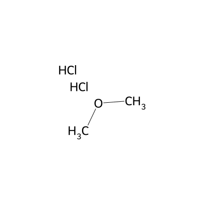 COC.Cl.Cl